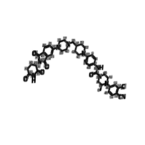 C[C@H]1CN(C(=O)Nc2ccc(N3CCC(CN4CCN(c5ccc6c(c5)C(=O)N([C@H]5CCC(=O)NC5=O)C6=O)CC4)CC3)nc2)CCN1c1ccc(C#N)c(Cl)c1